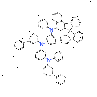 c1ccc(-c2cccc(N(c3ccccc3)c3cccc(N(c4cccc(-c5ccccc5)c4)c4cccc(N(c5ccccc5)c5cc6c(c7ccccc57)-c5ccccc5C6(c5ccccc5)c5ccccc5)c4)c3)c2)cc1